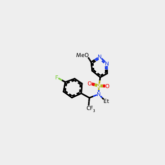 CCN(C(c1ccc(F)cc1)C(F)(F)F)S(=O)(=O)c1cnnc(OC)c1